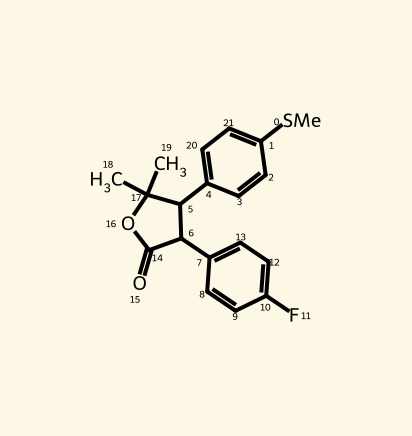 CSc1ccc(C2C(c3ccc(F)cc3)C(=O)OC2(C)C)cc1